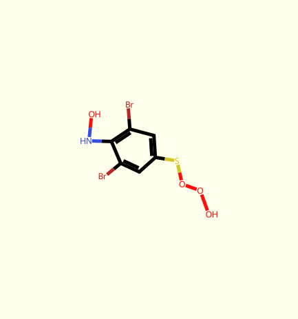 ONc1c(Br)cc(SOOO)cc1Br